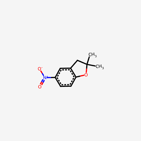 CC1(C)Cc2cc([N+](=O)[O-])ccc2O1